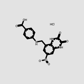 Cl.O=C(O)c1ccc(NCc2cc([N+](=O)[O-])cc3[nH]c(=O)c(=O)[nH]c23)cc1